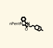 CCCCCn1cc2c(=O)n(CCC3CC4CC(C)CC(C3)C4)nc-2c2ccccc21